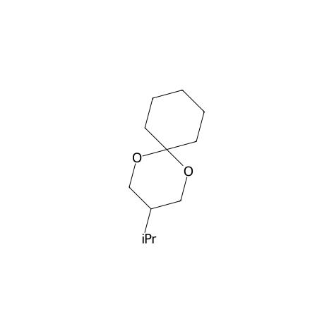 CC(C)C1COC2(CCCCC2)OC1